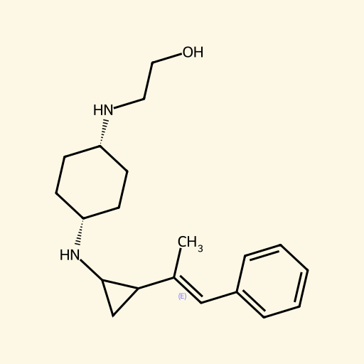 C/C(=C\c1ccccc1)C1CC1N[C@H]1CC[C@@H](NCCO)CC1